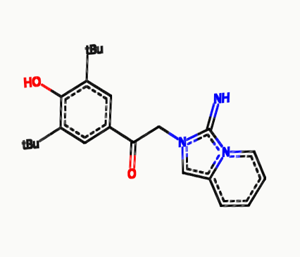 CC(C)(C)c1cc(C(=O)Cn2cc3ccccn3c2=N)cc(C(C)(C)C)c1O